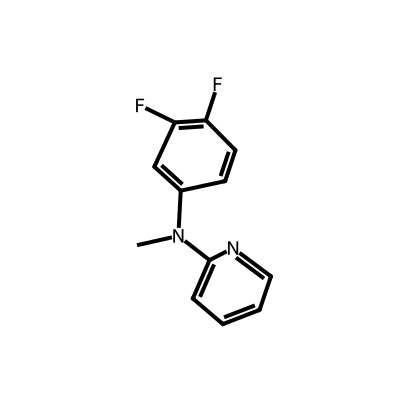 CN(c1ccc(F)c(F)c1)c1ccccn1